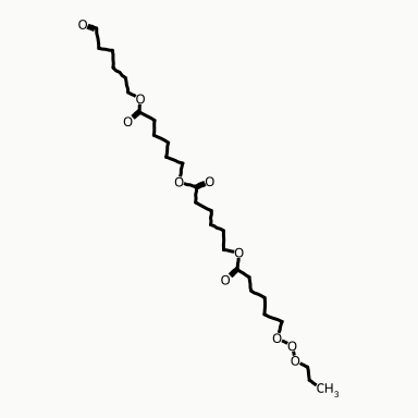 CCCOOOCCCCCC(=O)OCCCCCC(=O)OCCCCCC(=O)OCCCCCC=O